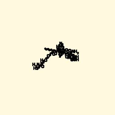 CCCCCN(CC(=O)N[C@@H](CC(C)C)C(=O)N[C@@H](Cc1cnc[nH]1)C(=O)N[C@@H](CO)C(=O)N[C@H](C(N)=O)[C@@H](C)OP(=O)(O)O)C(=O)CCOCCOCCNC(=O)[C@@H](N)CS